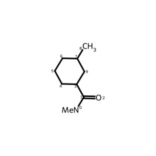 CNC(=O)C1CCCC(C)C1